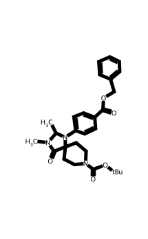 CC1N(C)C(=O)C2(CCN(C(=O)OC(C)(C)C)CC2)N1c1ccc(C(=O)OCc2ccccc2)cc1